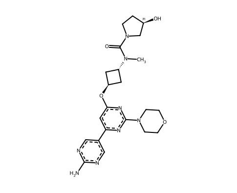 CN(C(=O)N1CC[C@@H](O)C1)[C@H]1C[C@H](Oc2cc(-c3cnc(N)nc3)nc(N3CCOCC3)n2)C1